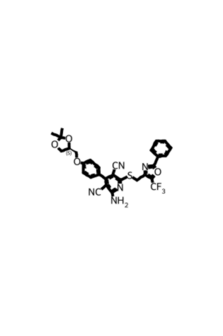 CC1(C)OC[C@H](COc2ccc(-c3c(C#N)c(N)nc(SCc4nc(-c5ccccc5)oc4C(F)(F)F)c3C#N)cc2)O1